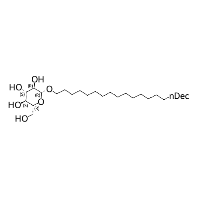 CCCCCCCCCCCCCCCCCCCCCCCCCO[C@@H]1O[C@H](CO)[C@@H](O)[C@H](O)[C@H]1O